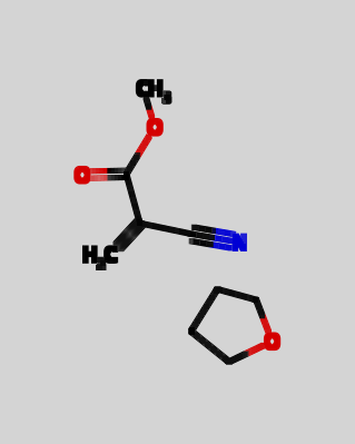 C1CCOC1.C=C(C#N)C(=O)OC